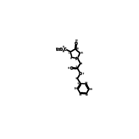 CCOC(=O)C1CN(CC(=O)OCc2ccccc2)CC1=O